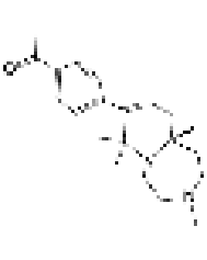 CC(=O)c1ccc(C2=CC[C@]3(C)CCN(C)CC=C3C2(C)C)cc1